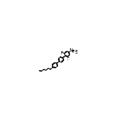 CCCCCCc1ccc(-c2ccc(-c3c(F)cc(N=C=S)cc3F)cc2)cc1